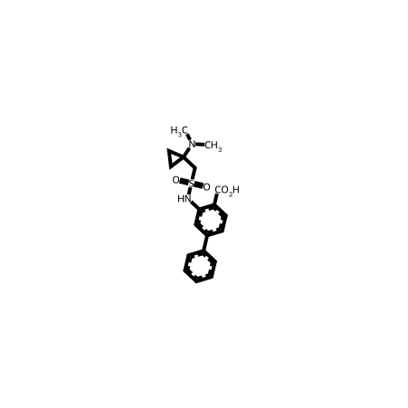 CN(C)C1(CS(=O)(=O)Nc2cc(-c3ccccc3)ccc2C(=O)O)CC1